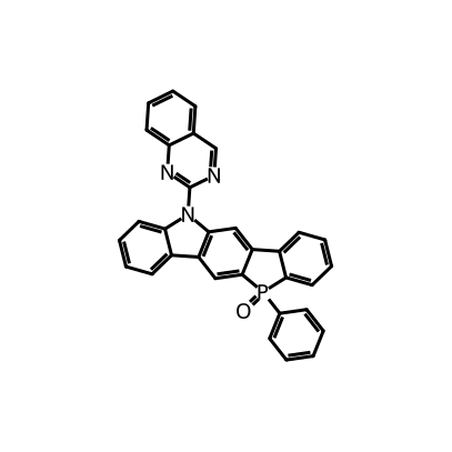 O=P1(c2ccccc2)c2ccccc2-c2cc3c(cc21)c1ccccc1n3-c1ncc2ccccc2n1